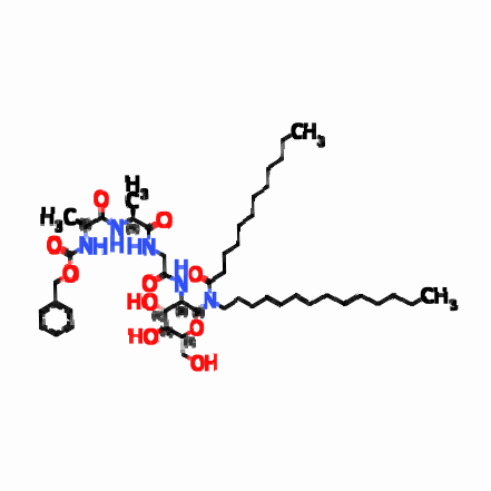 CCCCCCCCCCCCCCN(C(=O)CCCCCCCCCCC)[C@@H]1O[C@H](CO)[C@@H](O)[C@H](O)[C@H]1NC(=O)CNC(=O)[C@H](C)NC(=O)[C@H](C)NC(=O)OCc1ccccc1